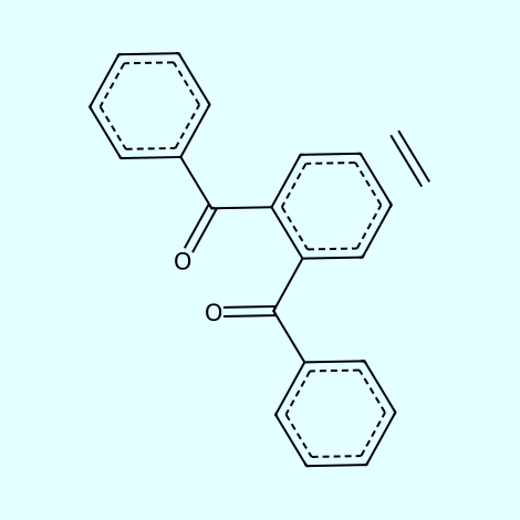 C=C.O=C(c1ccccc1)c1ccccc1C(=O)c1ccccc1